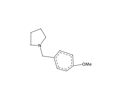 COc1ccc(CN2[CH]CCC2)cc1